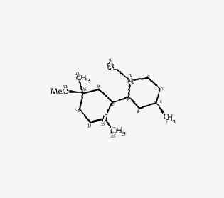 CCN1CC[C@@H](C)CC1C1C[C@](C)(OC)CCN1C